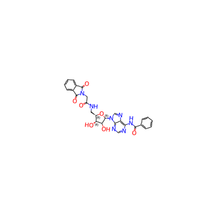 O=C(CN1C(=O)c2ccccc2C1=O)NC[C@H]1O[C@@H](n2cnc3c(NC(=O)c4ccccc4)ncnc32)C(O)[C@H]1O